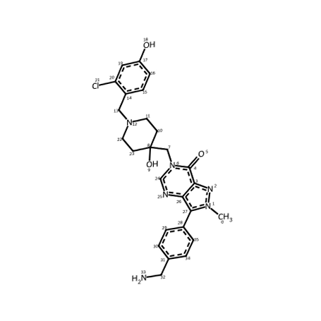 Cn1nc2c(=O)n(CC3(O)CCN(Cc4ccc(O)cc4Cl)CC3)cnc2c1-c1ccc(CN)cc1